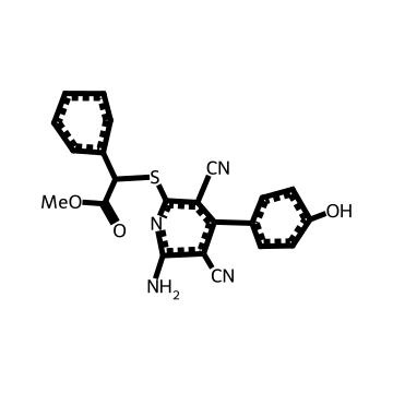 COC(=O)C(Sc1nc(N)c(C#N)c(-c2ccc(O)cc2)c1C#N)c1ccccc1